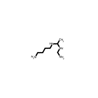 CC(NCN)NCCCCN